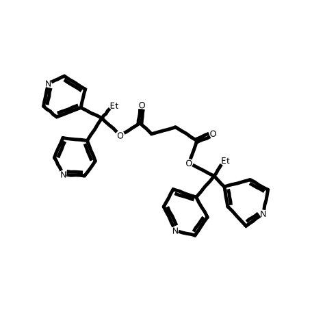 CCC(OC(=O)CCC(=O)OC(CC)(c1ccncc1)c1ccncc1)(c1ccncc1)c1ccncc1